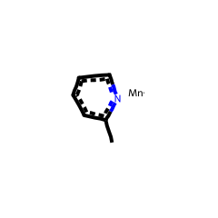 Cc1ccccn1.[Mn]